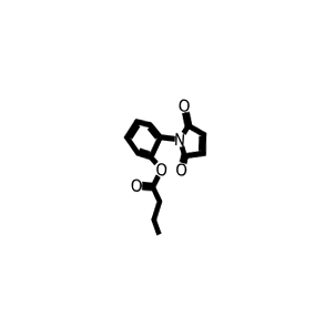 CCCC(=O)Oc1ccccc1N1C(=O)C=CC1=O